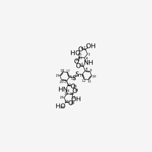 O=C(O)CC(NC(=O)c1ccccc1SSc1ccccc1C(=O)NC(CC(=O)O)C(=O)O)C(=O)O